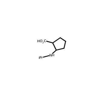 CC(C)NC1CCCC1C(=O)O